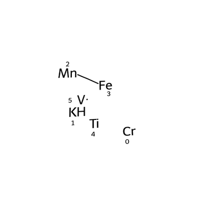 [Cr].[KH].[Mn][Fe].[Ti].[V]